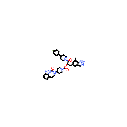 Cc1cc(CC(OC(=O)N2CCC(N3CCc4ccccc4NC3=O)CC2)C(=O)N2CCC(c3ccc(F)cc3)CC2)cc2cn[nH]c12